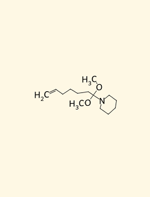 C=CCCCCC(OC)(OC)N1CCCCC1